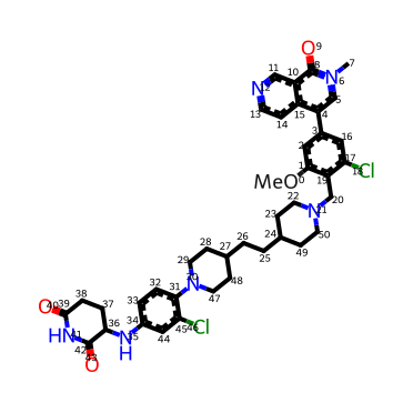 COc1cc(-c2cn(C)c(=O)c3cnccc23)cc(Cl)c1CN1CCC(CCC2CCN(c3ccc(NC4CCC(=O)NC4=O)cc3Cl)CC2)CC1